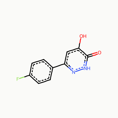 O=c1[nH]nc(-c2ccc(F)cc2)cc1O